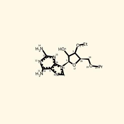 CCOC1C(O)[C@H](n2cnc3c(N)nc(N)nc32)O[C@@H]1COC(C)C